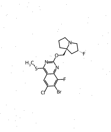 CSc1nc(OC[C@@]23CCCN2C[C@H](F)C3)nc2c(F)c(Br)c(Cl)cc12